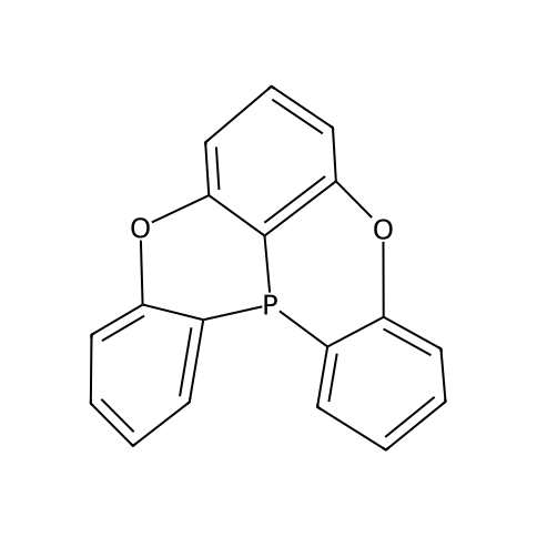 c1ccc2c(c1)Oc1cccc3c1P2c1ccccc1O3